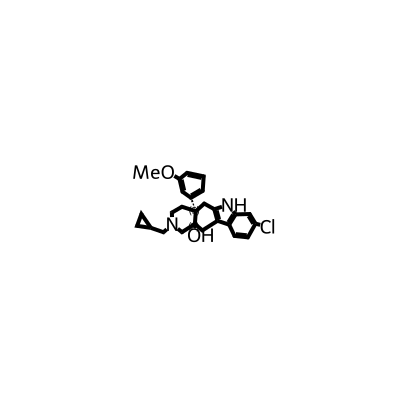 COc1cccc([C@@]23CCN(CC4CC4)C[C@@]2(O)Cc2c([nH]c4cc(Cl)ccc24)C3)c1